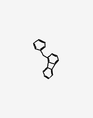 c1ccc(Cc2cccc3c2-c2ccccc2-3)cc1